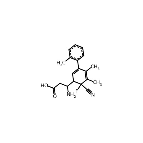 CC1=C(C)C(F)(C#N)C(C(N)CC(=O)O)C=C1c1ccccc1C